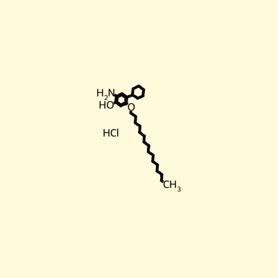 CCCCCCCCCCCCCCCCOc1cc(O)c(N)cc1C1CCCCC1.Cl